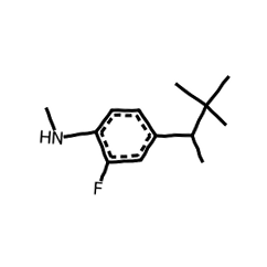 CNc1ccc(C(C)C(C)(C)C)cc1F